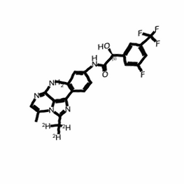 [2H]C([2H])([2H])c1nc(-c2ccc(NC(=O)[C@@H](O)c3cc(F)cc(C(F)(F)F)c3)cc2C)c2c(N)ncc(C)n12